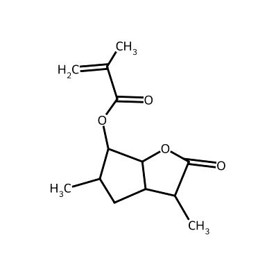 C=C(C)C(=O)OC1C(C)CC2C(C)C(=O)OC21